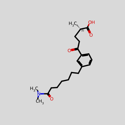 C[C@@H](CCC(=O)c1cccc(CCCCCCC(=O)N(C)C)c1)C(=O)O